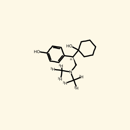 [2H]C([2H])([2H])N(C[C@@H](c1ccc(O)cc1)C1(O)CCCCC1)C([2H])([2H])[2H]